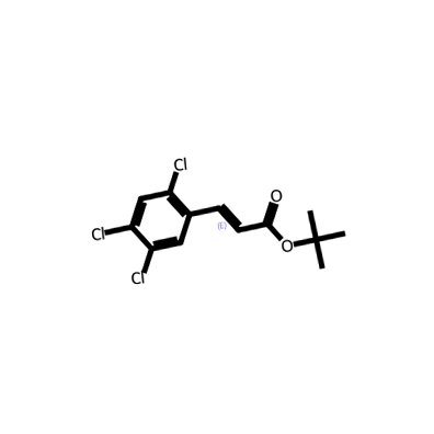 CC(C)(C)OC(=O)/C=C/c1cc(Cl)c(Cl)cc1Cl